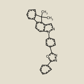 CC1(C)c2ccccc2-c2ccc3c(cnn3-c3ccc(-c4nnc(-c5ccccc5)o4)cc3)c21